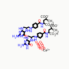 CC(CC(NC(=O)c1ccc(NCC2CNc3nc(N)[nH]c(=O)c3N2)cc1)C(=O)O)C(=O)[O-].CC(CC(NC(=O)c1ccc(NCC2CNc3nc(N)[nH]c(=O)c3N2)cc1)C(=O)O)C(=O)[O-].O.O.O.O.O.[Ca+2]